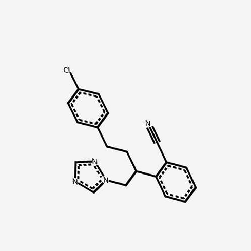 N#Cc1ccccc1C(CCc1ccc(Cl)cc1)Cn1cncn1